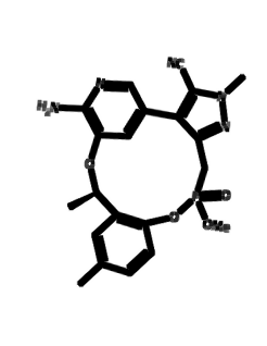 COP1(=O)Cc2nn(C)c(C#N)c2-c2cnc(N)c(c2)O[C@H](C)c2cc(C)ccc2O1